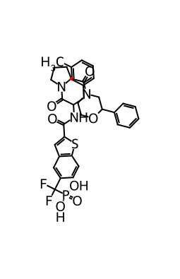 Cc1cccc(CC(NC(=O)c2cc3cc(C(F)(F)P(=O)(O)O)ccc3s2)C(=O)N2CCCC2C(=O)N2CCOC(c3ccccc3)C2)c1